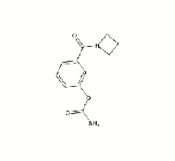 NC(=O)Oc1cccc(C(=O)N2CCC2)c1